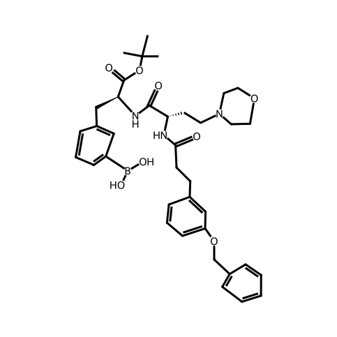 CC(C)(C)OC(=O)[C@H](Cc1cccc(B(O)O)c1)NC(=O)[C@H](CCN1CCOCC1)NC(=O)CCc1cccc(OCc2ccccc2)c1